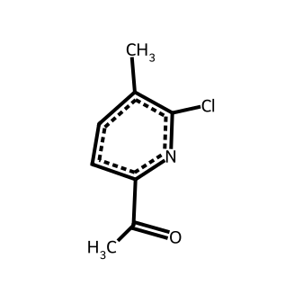 CC(=O)c1ccc(C)c(Cl)n1